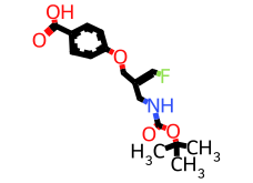 CC(C)(C)OC(=O)NCC(=CF)COc1ccc(C(=O)O)cc1